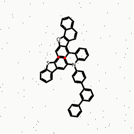 c1ccc(-c2cccc(-c3ccc(N(c4ccc5sc6ccccc6c5c4)c4ccccc4-c4cccc5oc6c7ccccc7ccc6c45)cc3)c2)cc1